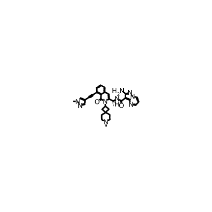 C[C@@H](NC(=O)c1c(N)nn2cccnc12)c1cc2cccc(C#Cc3cnn(C)c3)c2c(=O)n1C1CC2(CCN(C)CC2)C1